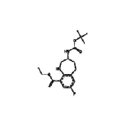 C=C(OCC)c1cc(F)cc2c1NCC(NC(=O)OC(C)(C)C)CC2